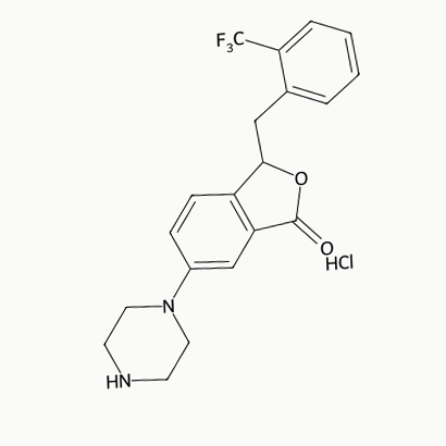 Cl.O=C1OC(Cc2ccccc2C(F)(F)F)c2ccc(N3CCNCC3)cc21